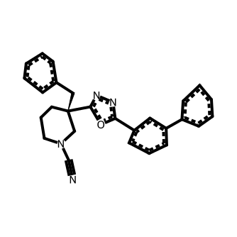 N#CN1CCC[C@](Cc2ccccc2)(c2nnc(-c3cccc(-c4ccccc4)c3)o2)C1